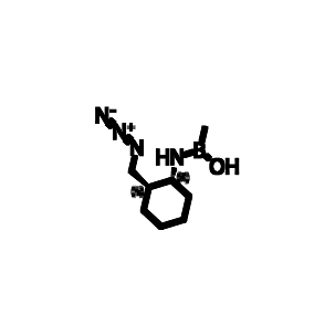 CB(O)N[C@@H]1CCCC[C@H]1CN=[N+]=[N-]